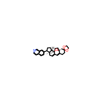 C[C@@]12CC=C3C=C4CCC5(C[C@]46CC[C@]3(O6)[C@@H]1CCC2c1ccc2ccncc2c1)OCCO5